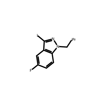 CC(C)Cn1nc(I)c2cc(F)ccc21